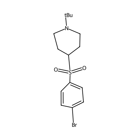 CC(C)(C)N1CCC(S(=O)(=O)c2ccc(Br)cc2)CC1